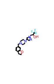 OC(Cn1cc(N2CCN(Cc3ccc4c(c3)OCC4)CC2)cn1)C(F)(F)F